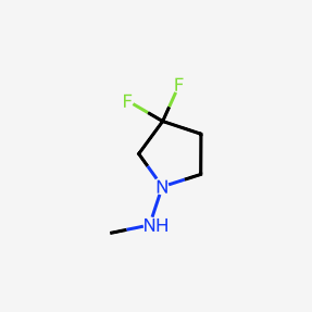 CNN1CCC(F)(F)C1